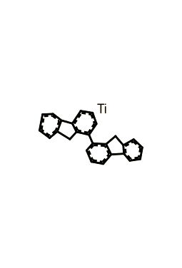 [Ti].c1ccc2c(c1)Cc1c-2cccc1-c1cccc2c1Cc1ccccc1-2